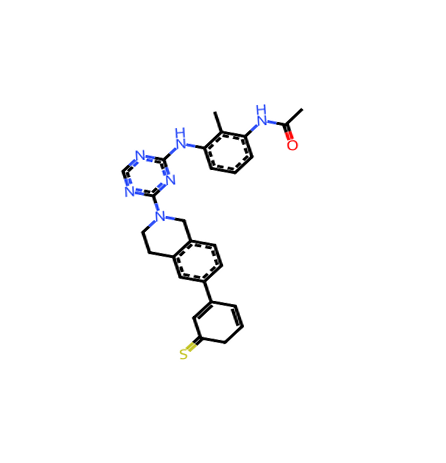 CC(=O)Nc1cccc(Nc2ncnc(N3CCc4cc(C5=CC(=S)CC=C5)ccc4C3)n2)c1C